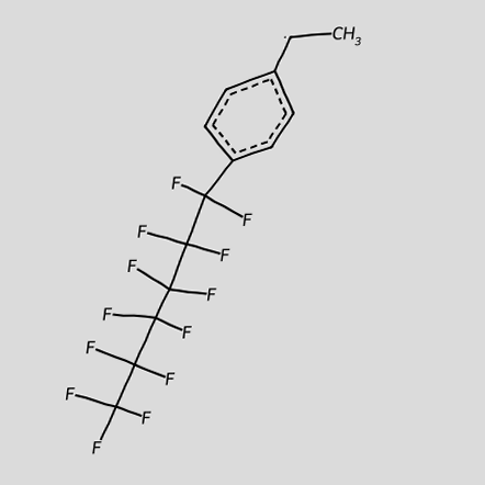 C[CH]c1ccc(C(F)(F)C(F)(F)C(F)(F)C(F)(F)C(F)(F)C(F)(F)F)cc1